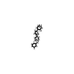 C1=CN(Cc2ccccc2)CC=C1c1ccc(-c2ccncc2)s1